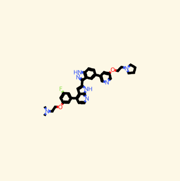 CN(C)CCOc1cc(F)cc(-c2ccnc3[nH]c(-c4n[nH]c5ccc(-c6cncc(OCCN7CCCC7)c6)cc45)cc23)c1